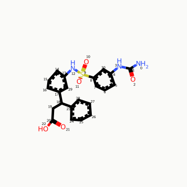 NC(=O)Nc1cccc(S(=O)(=O)Nc2cccc(C(CC(=O)O)c3ccccc3)c2)c1